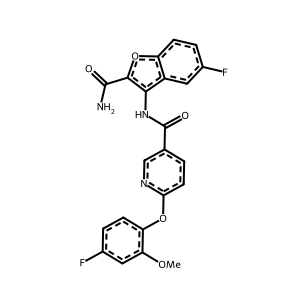 COc1cc(F)ccc1Oc1ccc(C(=O)Nc2c(C(N)=O)oc3ccc(F)cc23)cn1